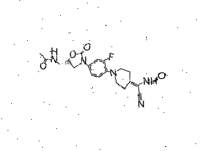 CC(=O)NC[C@H]1CN(c2ccc(N3CCC(=C(C#N)NC=O)CC3)c(F)c2)C(=O)O1